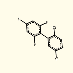 Fc1cc(F)c(-c2cc(Cl)[c]cc2Cl)c(F)c1